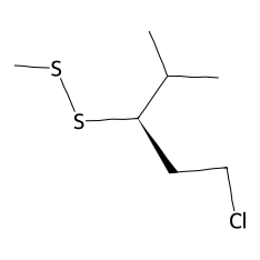 CSS[C@H](CCCl)C(C)C